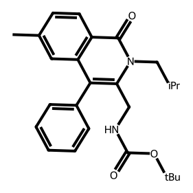 Cc1ccc2c(=O)n(CC(C)C)c(CNC(=O)OC(C)(C)C)c(-c3ccccc3)c2c1